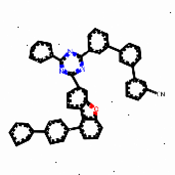 N#Cc1cccc(-c2cccc(-c3cccc(-c4nc(-c5ccccc5)nc(-c5ccc6c(c5)oc5cccc(-c7ccc(-c8ccccc8)cc7)c56)n4)c3)c2)c1